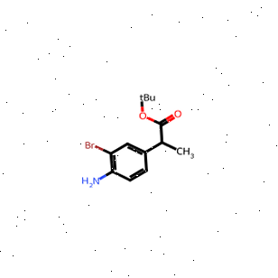 CC(C(=O)OC(C)(C)C)c1ccc(N)c(Br)c1